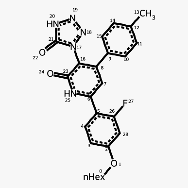 CCCCCCOc1ccc(-c2cc(-c3ccc(C)cc3)c(-n3nn[nH]c3=O)c(=O)[nH]2)c(F)c1